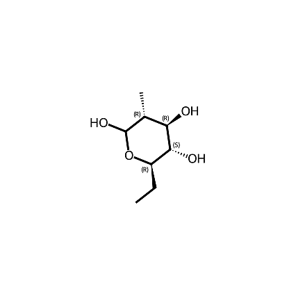 CC[C@H]1OC(O)[C@H](C)[C@@H](O)[C@@H]1O